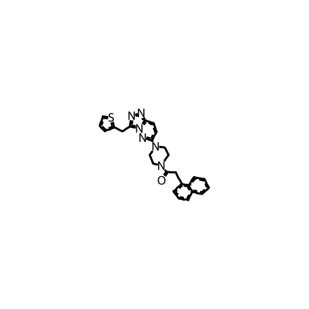 O=C(Cc1cccc2ccccc12)N1CCN(c2ccc3nnc(Cc4cccs4)n3n2)CC1